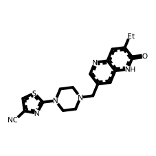 CCc1cc2ncc(CN3CCN(c4nc(C#N)cs4)CC3)cc2[nH]c1=O